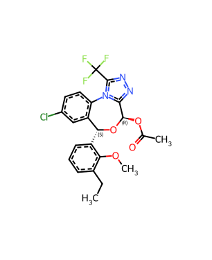 CCc1cccc([C@H]2O[C@H](OC(C)=O)c3nnc(C(F)(F)F)n3-c3ccc(Cl)cc32)c1OC